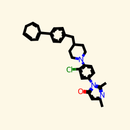 Cc1cc(=O)n(-c2ccc(N3CCC(Cc4ccc(C5=CC=CCC=C5)cc4)CC3)c(Cl)c2)c(C)n1